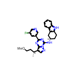 COCC[C@@H](C)c1cnn2c(N[C@H]3CCc4[nH]c5ccccc5c4C3)nc(-c3cncc(F)c3)nc12